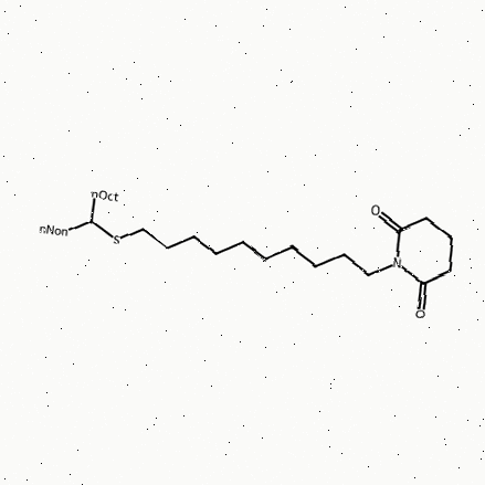 CCCCCCCCCC(CCCCCCCC)SCCCCCCCCCCN1C(=O)CCCC1=O